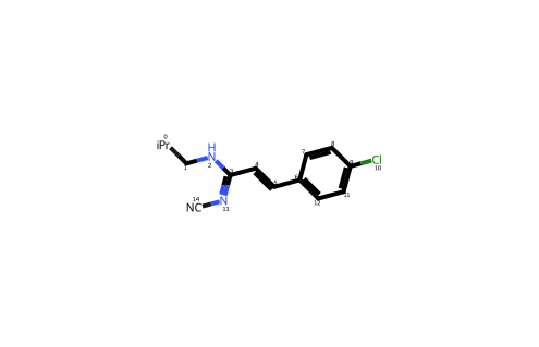 CC(C)CNC(C=Cc1ccc(Cl)cc1)=NC#N